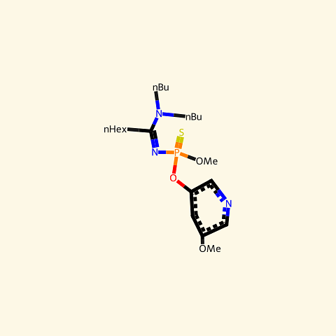 CCCCCCC(=NP(=S)(OC)Oc1cncc(OC)c1)N(CCCC)CCCC